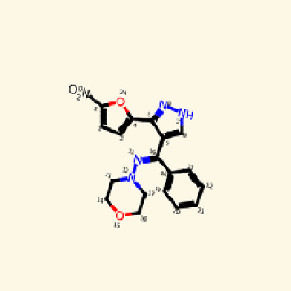 O=[N+]([O-])c1ccc(-c2n[nH]cc2C(=NN2CCOCC2)c2ccccc2)o1